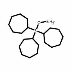 [SiH2]O[Si](C1CCCCCC1)(C1CCCCCC1)C1CCCCCC1